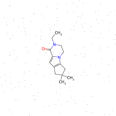 CCN1CCn2c(cc3c2CC(C)(C)C3)C1=O